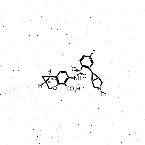 CCN1CC2C(C1)C2c1cc(F)ccc1S(=O)(=O)Nc1ccc2c(c1C(=O)O)OC[C@@H]1C[C@H]21